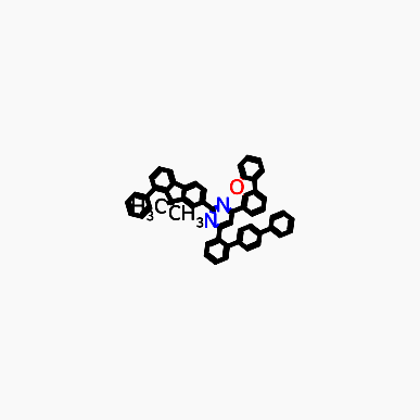 CC1(C)c2cc(-c3nc(-c4ccccc4-c4ccc(-c5ccccc5)cc4)cc(-c4cccc5c4oc4ccccc45)n3)ccc2-c2cccc(-c3ccccc3)c21